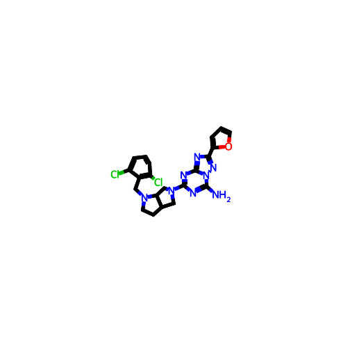 Nc1nc(N2CC3CCN(Cc4c(Cl)cccc4Cl)C3C2)nc2nc(-c3ccco3)nn12